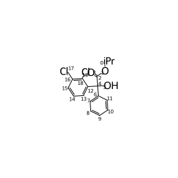 CC(C)OC(=O)C(O)(c1ccccc1)c1cccc(Cl)c1Cl